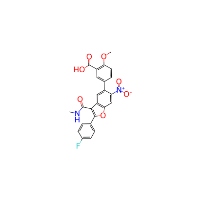 CNC(=O)c1c(-c2ccc(F)cc2)oc2cc([N+](=O)[O-])c(-c3ccc(OC)c(C(=O)O)c3)cc12